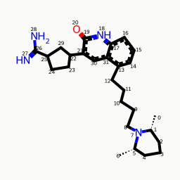 C[C@@H]1CCC[C@H](C)N1CCCCCc1cccc2[nH]c(=O)c(C3CCC(C(=N)N)C3)cc12